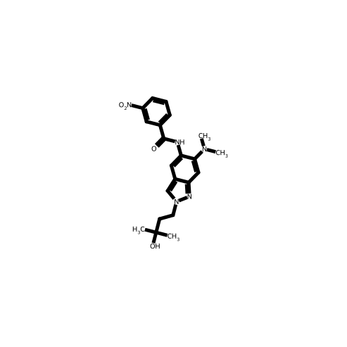 CN(C)c1cc2nn(CCC(C)(C)O)cc2cc1NC(=O)c1cccc([N+](=O)[O-])c1